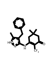 Cc1[nH]nc(NC2=C(C(F)(F)F)C(=O)CC(C)(C)C2)c1Cc1ccccc1